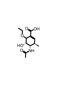 CCOC1C(C(=O)O)=C[C@@H](C)[C@H](NC(C)=O)[C@@H]1O